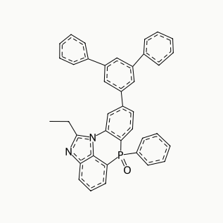 CCc1nc2cccc3c2n1-c1cc(-c2cc(-c4ccccc4)cc(-c4ccccc4)c2)ccc1P3(=O)c1ccccc1